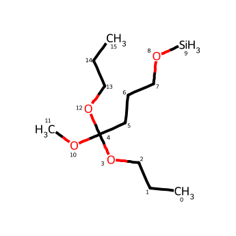 CCCOC(CCCO[SiH3])(OC)OCCC